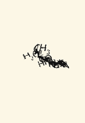 CC(C)CCCOC(=O)Nc1noc(C2CN3CCC2CC3)n1